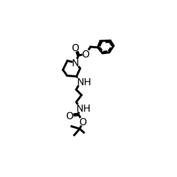 CC(C)(C)OC(=O)NCCCN[C@H]1CCCN(C(=O)OCc2ccccc2)C1